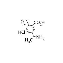 CC(N)c1ccc([N+](=O)[O-])c(C(=O)O)c1.Cl